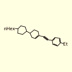 CCCCCCC1CCC(C2CC=C(C#Cc3ccc(CC)cc3)CC2)CC1